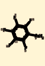 Fc1c(F)c(F)c([AsH2])c(F)c1F